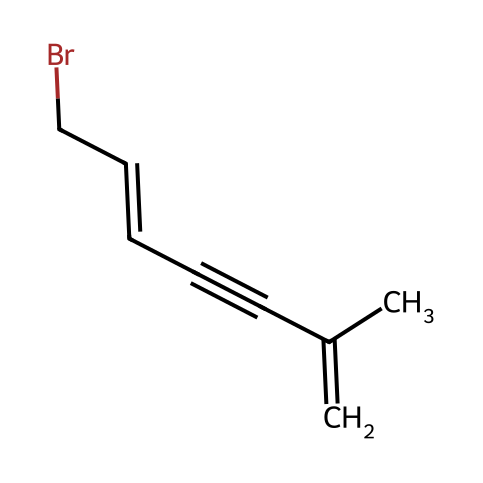 C=C(C)C#CC=CCBr